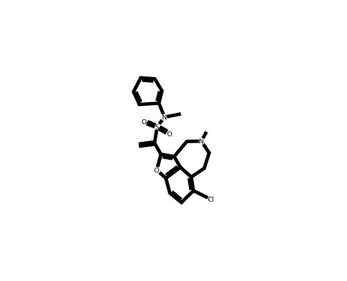 C=C(c1oc2ccc(Cl)c3c2c1CN(C)CC3)S(=O)(=O)N(C)c1ccccc1